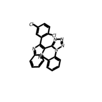 N#Cc1ccccc1-n1nnnc1-c1c(-c2cc(Cl)ccc2Cl)nc2ccccn12